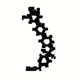 COCc1ccc(C(F)(F)OC2CCC(C3CCC(c4cc(F)c(C(F)(F)F)c(F)c4)CC3)CC2)cc1